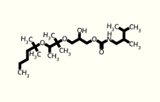 CCCCC(C)(C)OC(C)C(C)(C)OCC(O)COC(=O)NCC(C)C(C)C